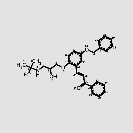 CCC(C)(C)NCC(O)COc1ccc(OCc2ccccc2)cc1C=CC(=O)c1ccccc1